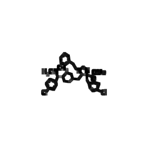 COC(=O)C1(Cc2ccc(Cl)cc2)N=CN(CCc2ccccc2)C1CC1CCC(C(c2ccc(Cl)cc2)N(C)C)CC1